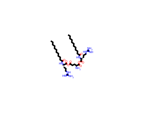 CCCCCCCCCCCC(=O)N[C@@H](CCCNC(=N)N)C(=O)OC(=O)CC[C@H](N)C(=O)OC(=O)[C@H](CCCNC(=N)N)NC(=O)CCCCCCCCCCC